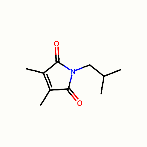 CC1=C(C)C(=O)N(CC(C)C)C1=O